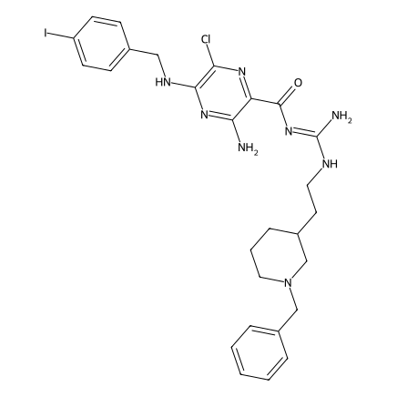 N/C(=N\C(=O)c1nc(Cl)c(NCc2ccc(I)cc2)nc1N)NCCC1CCCN(Cc2ccccc2)C1